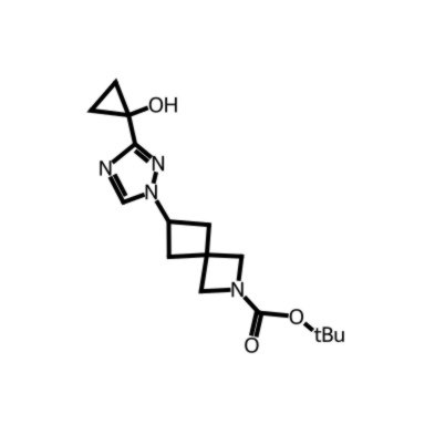 CC(C)(C)OC(=O)N1CC2(CC(n3cnc(C4(O)CC4)n3)C2)C1